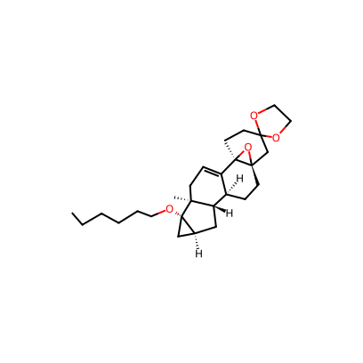 CCCCCCO[C@@]12C[C@@H]1C[C@H]1[C@@H]3CC[C@@]45CC6(CC[C@@]4(O5)C3=CC[C@@]12C)OCCO6